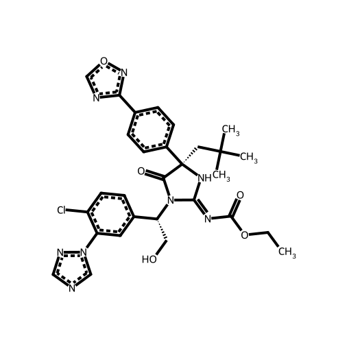 CCOC(=O)N=C1N[C@](CC(C)(C)C)(c2ccc(-c3ncon3)cc2)C(=O)N1[C@H](CO)c1ccc(Cl)c(-n2cncn2)c1